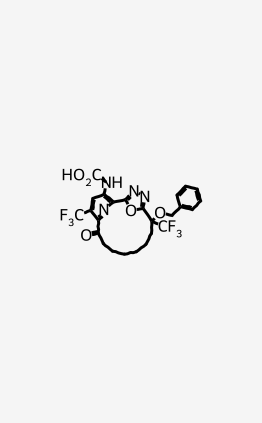 O=C(O)Nc1cc(C(F)(F)F)c2nc1-c1nnc(o1)C(OCc1ccccc1)(C(F)(F)F)CCCCCCC2=O